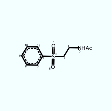 CC(=O)NCCS(=O)(=O)c1ccccc1